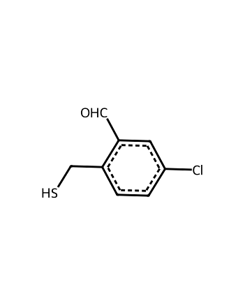 O=Cc1cc(Cl)ccc1CS